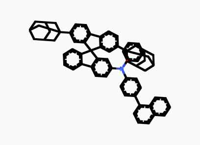 c1ccc(N(c2ccc(-c3cccc4ccccc34)cc2)c2ccc3c(c2)C2(c4ccccc4-3)c3cc(C45CC6CC(CC(C6)C4)C5)ccc3-c3ccc(C45CC6CC(CC(C6)C4)C5)cc32)cc1